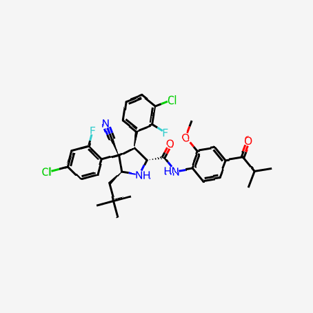 COc1cc(C(=O)C(C)C)ccc1NC(=O)[C@@H]1N[C@@H](CC(C)(C)C)[C@](C#N)(c2ccc(Cl)cc2F)[C@H]1c1cccc(Cl)c1F